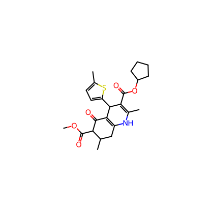 COC(=O)C1C(=O)C2=C(CC1C)NC(C)=C(C(=O)OC1CCCC1)C2c1ccc(C)s1